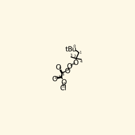 CC(C)(C)CC(C)(C)OOOC(=O)C(=O)OCl